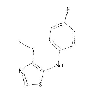 [CH2]Cc1ncsc1Nc1ccc(F)cc1